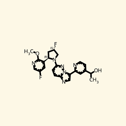 COc1ncc(F)cc1[C@H]1C[C@H](F)CN1c1ccc2ncc(-c3cc(C(C)O)ccn3)n2n1